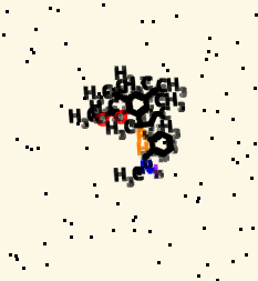 CCCC(C)(Pc1ccccc1CN(C)I)c1cc(C(C)(C)C)cc(C(C)(C)C)c1OCOC